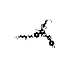 N#Cc1c(NC(=O)CCCN)nc(SCc2csc(-c3ccc(Cl)cc3)n2)c(C#N)c1-c1ccc(OCCOC(=O)CCCN)cc1